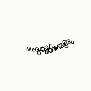 COC(=O)c1ccc(Oc2cccc(N3CC(N4CCN(C(=O)OC(C)(C)C)CC4)C3)c2F)c(Br)c1